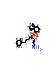 NCC=CN(CCCCc1ccccc1)S(=O)(=O)c1cccc2cnccc12